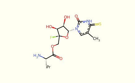 Cc1cn([C@@H]2O[C@](F)(COC(=O)[C@@H](N)C(C)C)[C@@H](O)[C@H]2O)c(=O)[nH]c1=S